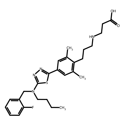 CCCCN(Cc1ccccc1F)c1nnc(-c2cc(C)c(CCCNCCC(=O)O)c(C)c2)s1